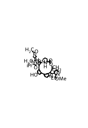 C=CC(=O)N1CC(C(=O)N(C)[C@H](C(=O)N[C@H]2Cc3cc(O)cc(c3)-c3ccc4c(c3)c(c(-c3cccnc3COC)n4CC)CC(C)(C)COC(=O)[C@@H]3CCCN(N3)C2=O)C(C)C)C1